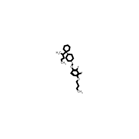 CCCCOc1ccc(OC[C@H]2CC[C@H](C3(C(C)CCC)CCCCC3)CC2)c(F)c1F